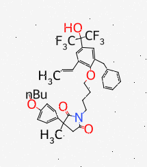 C/C=C/c1cc(C(O)(C(F)(F)F)C(F)(F)F)cc(Cc2ccccc2)c1OCCCCN1C(=O)CC(C)(c2ccc(OCCCC)cc2)C1=O